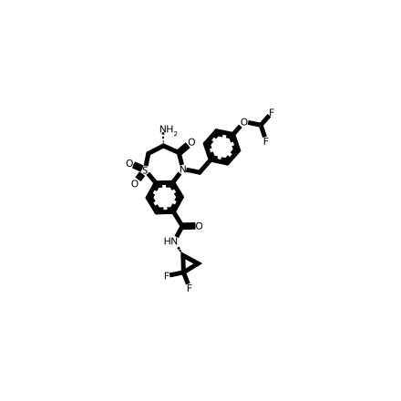 N[C@H]1CS(=O)(=O)c2ccc(C(=O)N[C@@H]3CC3(F)F)cc2N(Cc2ccc(OC(F)F)cc2)C1=O